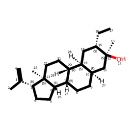 C=C(C)[C@H]1CC[C@H]2[C@@H]3CC[C@@H]4C[C@](C)(O)[C@@H](CC)C[C@@H]4[C@H]3CC[C@]12C